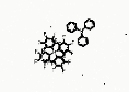 Fc1c(F)c(F)c([B-](c2c(F)c(F)c(F)c(F)c2F)(c2c(F)c(F)c(F)c(F)c2F)c2c(F)c(F)c(F)c(F)c2F)c(F)c1F.c1ccc(N(c2ccccc2)c2ccccc2)cc1